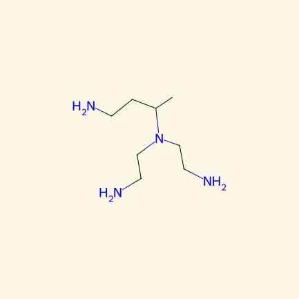 CC(CCN)N(CCN)CCN